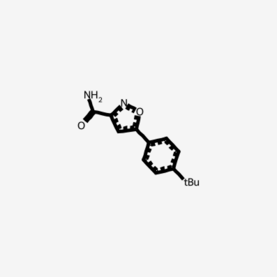 CC(C)(C)c1ccc(-c2cc(C(N)=O)no2)cc1